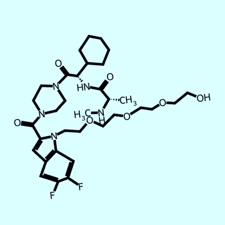 CN[C@@H](C)C(=O)N[C@H](C(=O)N1CCN(C(=O)c2cc3cc(F)c(F)cc3n2CCOCCOCCOCCO)CC1)C1CCCCC1